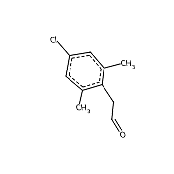 Cc1cc(Cl)cc(C)c1CC=O